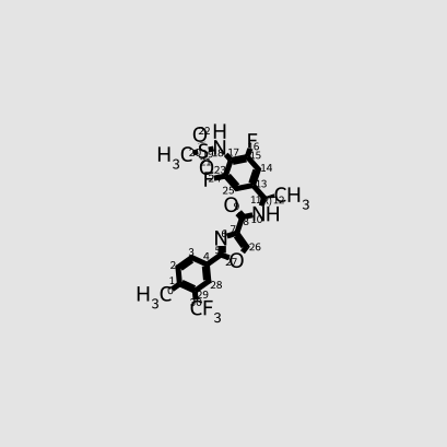 Cc1ccc(-c2nc(C(=O)N[C@H](C)c3cc(F)c(NS(C)(=O)=O)c(F)c3)co2)cc1C(F)(F)F